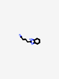 N#CC=CCc1nc2ccccc2[nH]1